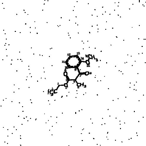 CCOC(=O)C(C)C(=O)c1ccccc1OC